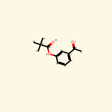 CC(=O)c1cccc(OC(=O)C(C)(C)C)c1